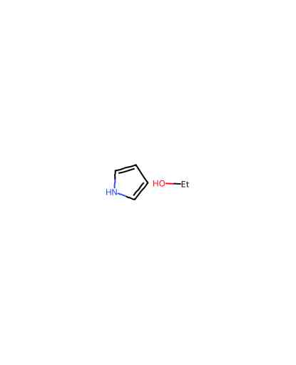 CCO.c1cc[nH]c1